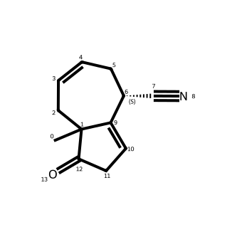 CC12CC=CC[C@H](C#N)C1=CCC2=O